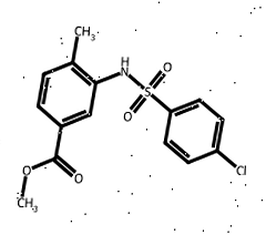 COC(=O)c1ccc(C)c(NS(=O)(=O)c2ccc(Cl)cc2)c1